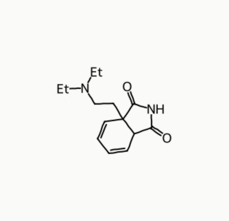 CCN(CC)CCC12C=CC=CC1C(=O)NC2=O